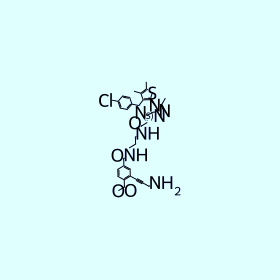 COC(=O)c1ccc(C(=O)NCCCNC(=O)C[C@@H]2N=C(c3ccc(Cl)cc3)c3c(sc(C)c3C)-n3c(C)nnc32)cc1C#CCN